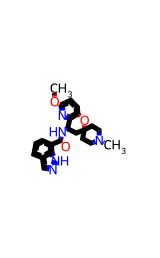 COc1ccc2c(n1)C(NC(=O)c1cccc3cn[nH]c13)CC1(CCN(C)CC1)O2